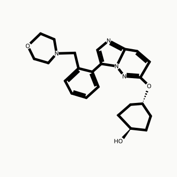 O[C@H]1CC[C@H](Oc2ccc3ncc(-c4ccccc4CN4CCOCC4)n3n2)CC1